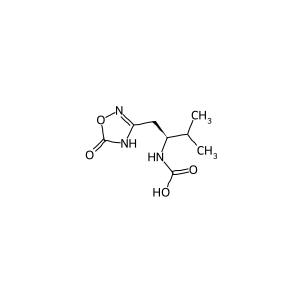 CC(C)[C@H](Cc1noc(=O)[nH]1)NC(=O)O